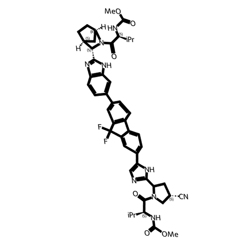 COC(=O)N[C@H](C(=O)N1C[C@@H](C#N)CC1c1ncc(-c2ccc3c(c2)C(F)(F)c2cc(-c4ccc5nc([C@@H]6[C@H]7CC[C@H](C7)N6C(=O)[C@@H](NC(=O)OC)C(C)C)[nH]c5c4)ccc2-3)[nH]1)C(C)C